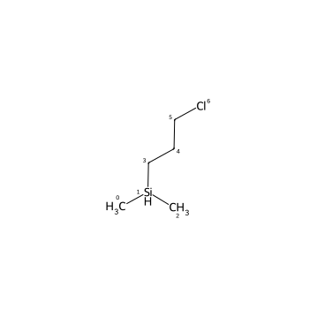 C[SiH](C)CCCCl